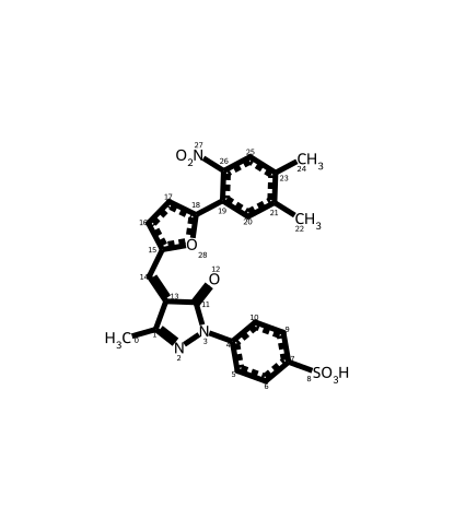 CC1=NN(c2ccc(S(=O)(=O)O)cc2)C(=O)C1=Cc1ccc(-c2cc(C)c(C)cc2[N+](=O)[O-])o1